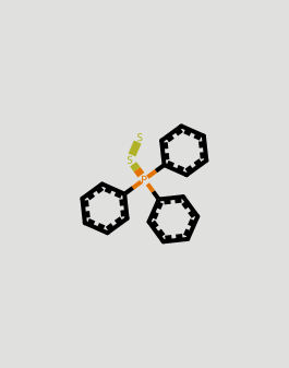 S=S=P(c1ccccc1)(c1ccccc1)c1ccccc1